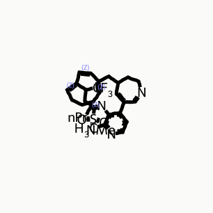 CCC/C=N\c1c(C2=CC(CC3=C/CCC/C=C(C(CCS(=O)(=O)NC)C(F)(F)F)/C=C\3)CCN=C2)ccnc1C